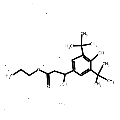 CCCOC(=O)CC(S)c1cc(C(C)(C)C)c(O)c(C(C)(C)C)c1